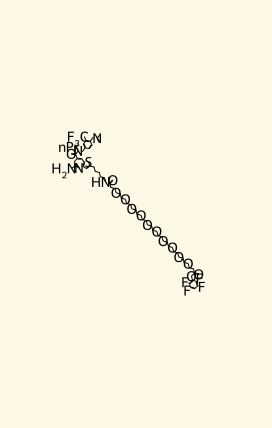 CCCN(Cc1ccc(CN(C)C)c(C(F)(F)F)c1)C(=O)C1=Cc2sc(CCCCCNC(=O)CCOCCOCCOCCOCCOCCOCCOCCOCCOCCOCCC(=O)Oc3c(F)c(F)cc(F)c3F)cc2N=C(N)C1